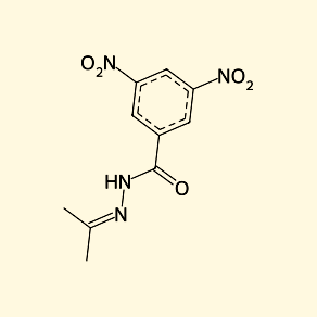 CC(C)=NNC(=O)c1cc([N+](=O)[O-])cc([N+](=O)[O-])c1